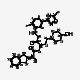 Cc1nc(-c2ccc(C)c(NCC(=O)N(CCN3CCC(O)CC3)CC(=O)N(C)N3Cc4ccccc4C3)c2)no1